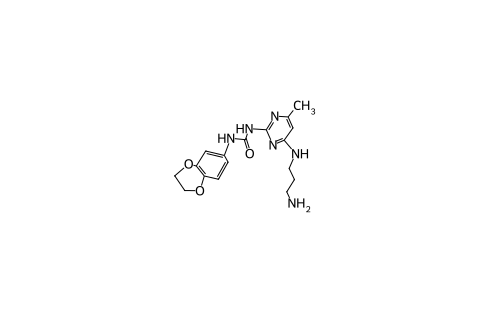 Cc1cc(NCCCN)nc(NC(=O)Nc2ccc3c(c2)OCCO3)n1